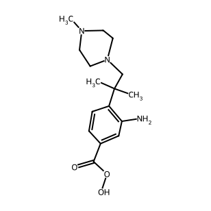 CN1CCN(CC(C)(C)c2ccc(C(=O)OO)cc2N)CC1